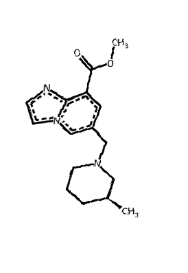 COC(=O)c1cc(CN2CCC[C@H](C)C2)cn2ccnc12